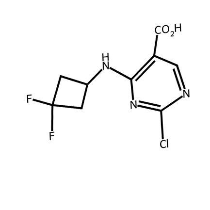 O=C(O)c1cnc(Cl)nc1NC1CC(F)(F)C1